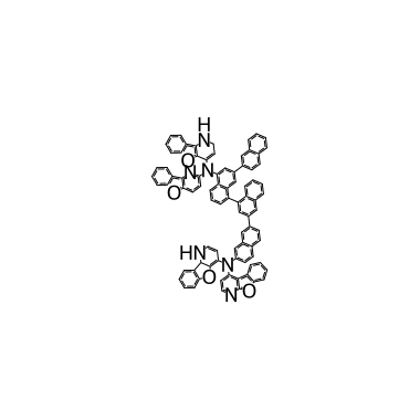 C1=CC(N(c2ccc3ccc(-c4cc(-c5cccc6c(N(C7=CCNc8c7oc7ccccc87)c7ccc8oc9ccccc9c8n7)cc(-c7ccc8ccccc8c7)cc56)c5ccccc5c4)cc3c2)c2ccnc3oc4ccccc4c23)=C2Oc3ccccc3C2N1